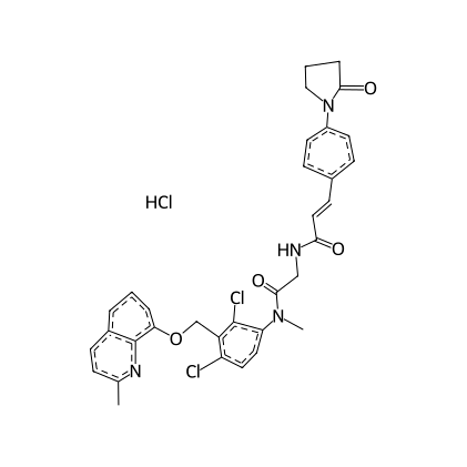 Cc1ccc2cccc(OCc3c(Cl)ccc(N(C)C(=O)CNC(=O)/C=C/c4ccc(N5CCCC5=O)cc4)c3Cl)c2n1.Cl